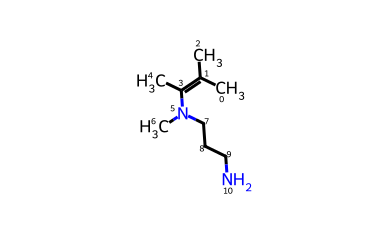 CC(C)=C(C)N(C)CCCN